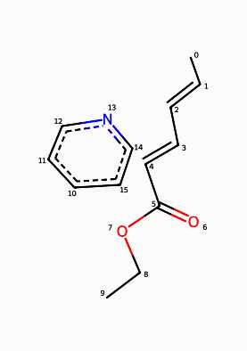 C/C=C/C=C/C(=O)OCC.c1ccncc1